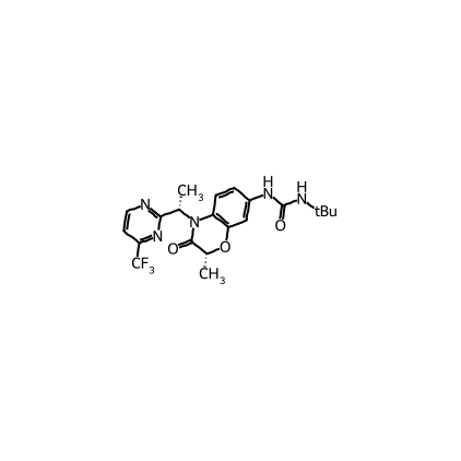 C[C@H]1Oc2cc(NC(=O)NC(C)(C)C)ccc2N([C@@H](C)c2nccc(C(F)(F)F)n2)C1=O